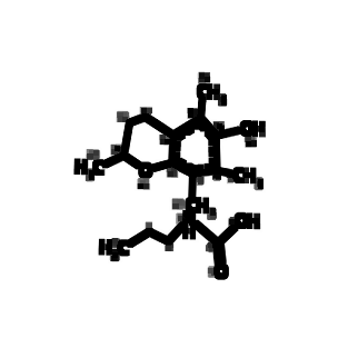 CCCNC(=O)O.Cc1c(C)c2c(c(C)c1O)CCC(C)O2